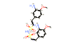 COc1ccc(/C=C\S(=O)(=O)NS(=O)(=O)/C=C/c2ccc(OC)c(N)c2)cc1N